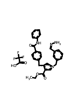 CCOC(=O)c1cn(Cc2cccc(/C=N\N)c2)cc1Cc1ccc(C(=O)Nc2ccccc2)cc1.O=C(O)C(F)(F)F